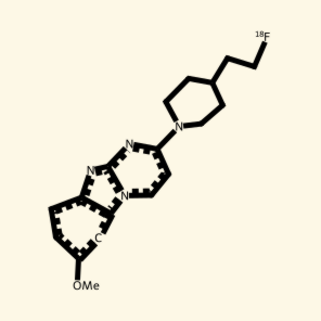 COc1ccc2nc3nc(N4CCC(CC[18F])CC4)ccn3c2c1